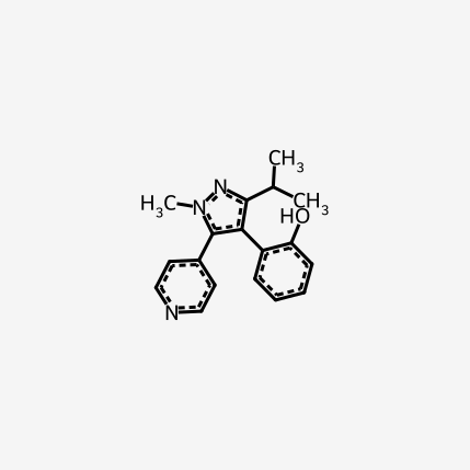 CC(C)c1nn(C)c(-c2ccncc2)c1-c1ccccc1O